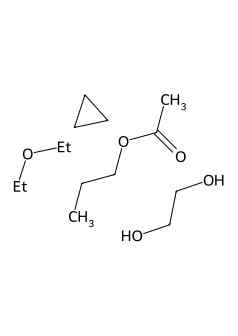 C1CC1.CCCOC(C)=O.CCOCC.OCCO